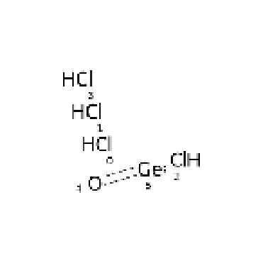 Cl.Cl.Cl.Cl.[O]=[Ge]